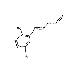 O=[C]CC=Cc1cc(Br)ccc1Br